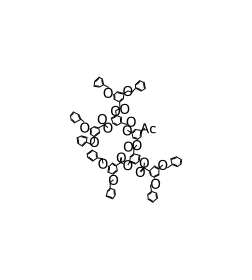 CC(=O)c1cc(OC(=O)c2cc(OC(=O)c3cc(OCc4ccccc4)cc(OCc4ccccc4)c3)cc(OC(=O)c3cc(OCc4ccccc4)cc(OCc4ccccc4)c3)c2)cc(OC(=O)c2cc(OC(=O)c3cc(OCc4ccccc4)cc(OCc4ccccc4)c3)cc(OC(=O)c3cc(OCc4ccccc4)cc(OCc4ccccc4)c3)c2)c1